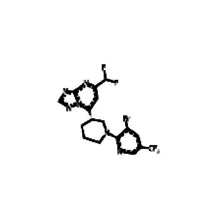 FC(F)c1cc([C@H]2CCCN(c3ncc(C(F)(F)F)cc3Br)C2)n2ncnc2n1